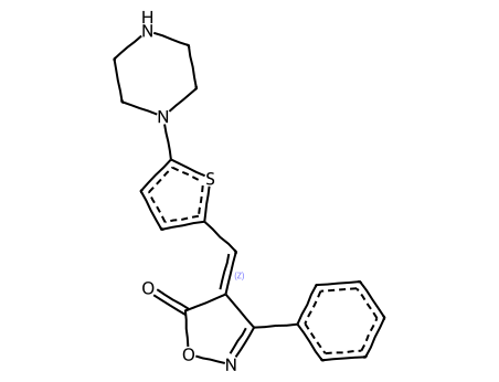 O=C1ON=C(c2ccccc2)/C1=C/c1ccc(N2CCNCC2)s1